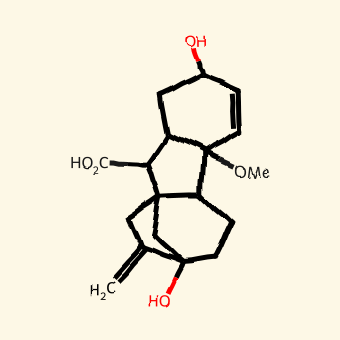 C=C1CC23CC1(O)CCC2C1(OC)C=CC(O)CC1C3C(=O)O